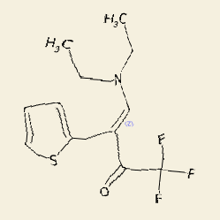 CCN(/C=C(/C(=O)C(F)(F)F)c1cccs1)CC